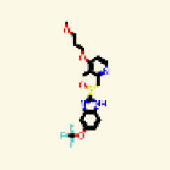 COCCCOc1ccnc(C[S+]([O-])c2nc3cc(OC(F)(F)F)ccc3[nH]2)c1C